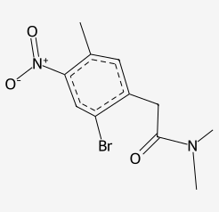 Cc1cc(CC(=O)N(C)C)c(Br)cc1[N+](=O)[O-]